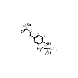 CC(C)(S)Nc1ccc(COC(=O)C(C)(C)C)cc1